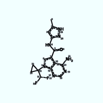 Cc1cc(NC(=O)c2cn(C3(C(F)F)CC3)c3ncnc(N)c23)n[nH]1